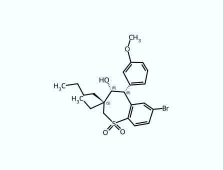 CCCC[C@]1(CC)CS(=O)(=O)c2ccc(Br)cc2[C@@H](c2cccc(OC)c2)[C@H]1O